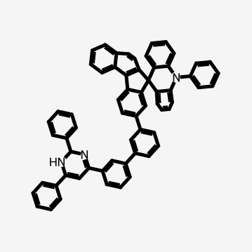 C1=C(c2ccccc2)NC(c2ccccc2)N=C1c1cccc(-c2cccc(-c3ccc4c(c3)C3(c5ccccc5N(c5ccccc5)c5ccccc53)c3ccc5ccccc5c3-4)c2)c1